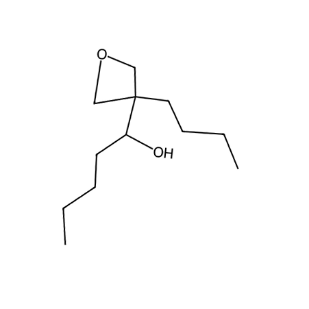 CCCCC(O)C1(CCCC)COC1